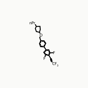 CCCC1CCC(OCc2ccc(-c3cc(F)c(C#CC(F)(F)F)c(F)c3)cc2)CC1